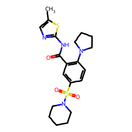 Cc1cnc(NC(=O)c2cc(S(=O)(=O)N3CCCCC3)ccc2N2CCCC2)s1